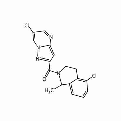 CC1c2cccc(Cl)c2CCN1C(=O)c1cc2ncc(Cl)cn2n1